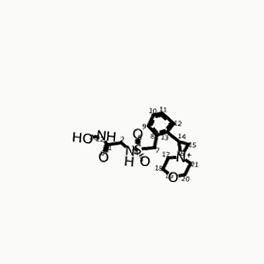 O=C(CNS(=O)(=O)Cc1ccccc1C1C[N+]12CCOCC2)NO